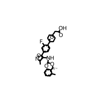 Cc1ccccc1[C@@H](C)OC(=O)Nc1c(C)noc1-c1ccc(C23CCC(CC(=O)O)(CC2)OC3)c(F)c1